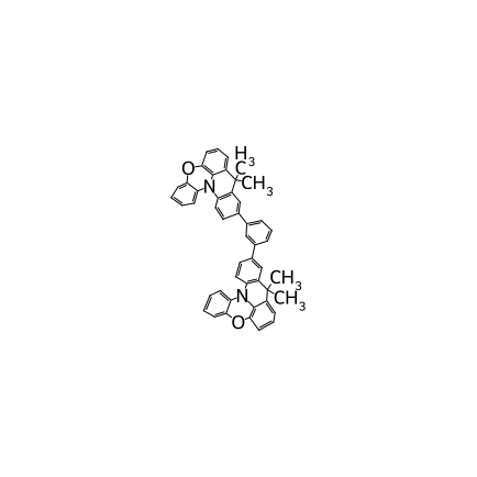 CC1(C)c2cc(-c3cccc(-c4ccc5c(c4)C(C)(C)c4cccc6c4N5c4ccccc4O6)c3)ccc2N2c3ccccc3Oc3cccc1c32